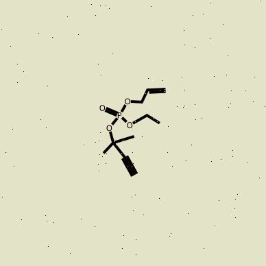 C#CC(C)(C)OP(=O)(OCC)OCC=C